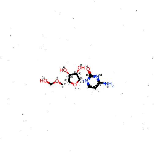 Nc1ccn([C@@H]2O[C@H](COCO)[C@@H](O)[C@H]2O)c(=O)n1